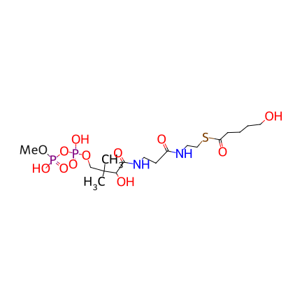 COP(=O)(O)OP(=O)(O)OCC(C)(C)C(O)C(=O)NCCC(=O)NCCSC(=O)CCCCO